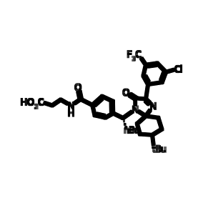 CCCC[C@H](c1ccc(C(=O)NCCC(=O)O)cc1)N1C(=O)C(c2cc(Cl)cc(C(F)(F)F)c2)=NC12CCC(C(C)(C)C)CC2